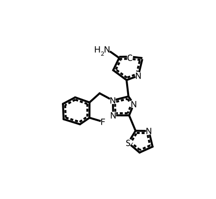 Nc1ccnc(-c2nc(-c3nccs3)nn2Cc2ccccc2F)c1